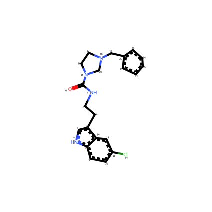 O=C(NCCc1c[nH]c2ccc(Cl)cc12)N1CCN(Cc2ccccc2)C1